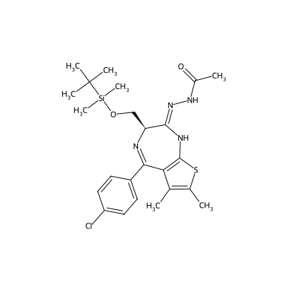 CC(=O)N/N=C1\Nc2sc(C)c(C)c2C(c2ccc(Cl)cc2)=N[C@H]1CO[Si](C)(C)C(C)(C)C